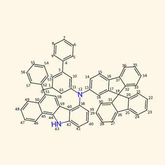 CC1C=C(c2ccccc2)C=C(N(c2ccc3c(c2)C2(c4ccccc4-c4ccccc42)c2ccccc2-3)c2cccc3[nH]c4c5ccccc5c(-c5ccccc5)cc4c23)C1